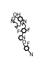 N#CCC1(Cn2c(Cc3cc(F)c(-c4cccc(OCc5ccc(C#N)cc5F)n4)cc3F)nc3ccc(C(=O)O)cc32)CC1